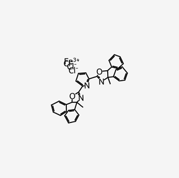 CC1(c2ccccc2)N=C(c2cccc(C3=NC(C)(c4ccccc4)C(c4ccccc4)O3)n2)OC1c1ccccc1.[Cl-].[Cl-].[Cl-].[Fe+3]